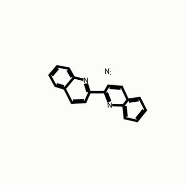 [N].c1ccc2nc(-c3ccc4ccccc4n3)ccc2c1